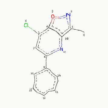 Cc1noc2c(Cl)cc(-c3ccccc3)nc12